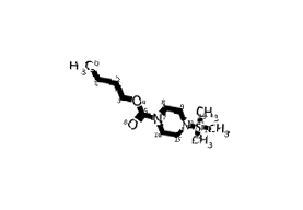 CCCCOC(=O)N1CCN([Si](C)(C)C)CC1